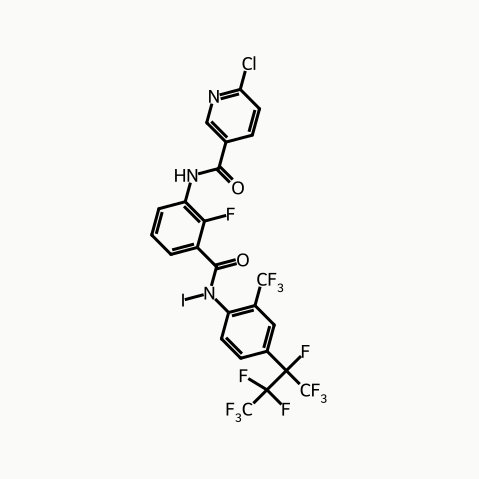 O=C(Nc1cccc(C(=O)N(I)c2ccc(C(F)(C(F)(F)F)C(F)(F)C(F)(F)F)cc2C(F)(F)F)c1F)c1ccc(Cl)nc1